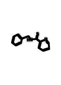 S=C(NCc1ccccc1)c1ccccn1